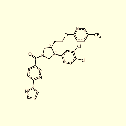 O=C(c1ccc(-n2cccn2)nc1)N1C[C@@H](CCOc2ccc(C(F)(F)F)cn2)[C@@H](c2ccc(Cl)c(Cl)c2)C1